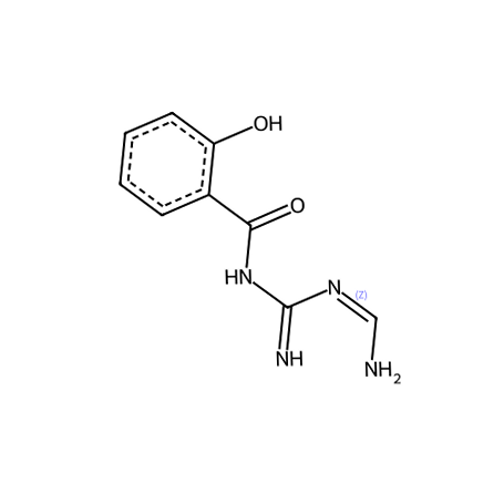 N=C(/N=C\N)NC(=O)c1ccccc1O